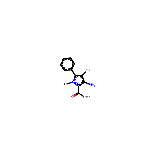 CCn1c(C(=O)OC)c(N)c(C#N)c1-c1ccccc1